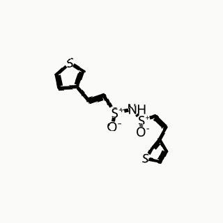 [O-][S+](/C=C\c1ccsc1)N[S+]([O-])/C=C/c1ccsc1